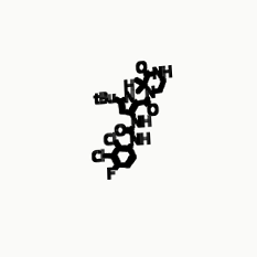 CC(C)(C)c1cc(NC(=O)Nc2ccc(F)c(Cl)c2Cl)c(C(=O)N2CCNC(=O)C2(C)C)[nH]1